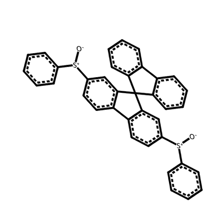 [O-][S+](c1ccccc1)c1ccc2c(c1)C1(c3ccccc3-c3ccccc31)c1cc([S+]([O-])c3ccccc3)ccc1-2